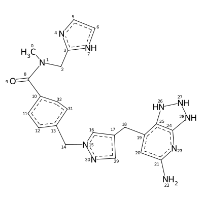 CN(Cc1ncc[nH]1)C(=O)c1ccc(Cn2cc(Cc3cc(N)nc4c3NNN4)cn2)cc1